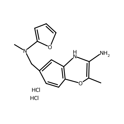 CC1=C(N)Nc2cc(CN(C)c3ccco3)ccc2O1.Cl.Cl